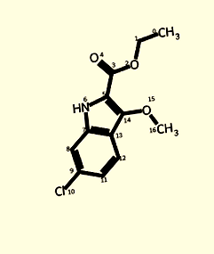 CCOC(=O)c1[nH]c2cc(Cl)ccc2c1OC